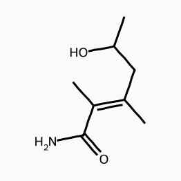 CC(CC(C)O)=C(C)C(N)=O